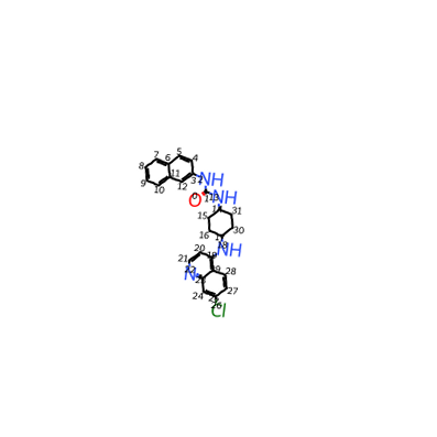 O=C(Nc1ccc2ccccc2c1)NC1CCC(Nc2ccnc3cc(Cl)ccc23)CC1